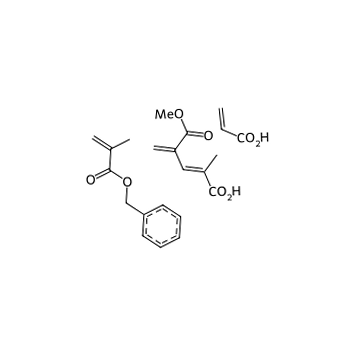 C=C(C)C(=O)OCc1ccccc1.C=C(C=C(C)C(=O)O)C(=O)OC.C=CC(=O)O